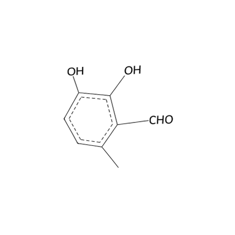 Cc1ccc(O)c(O)c1C=O